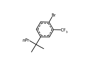 CCCC(C)(C)c1ccc(Br)c(C(F)(F)F)c1